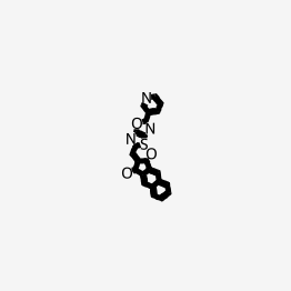 O=C1C(=Cc2nc3oc(-c4cccnc4)nc3s2)C(=O)c2cc3ccccc3cc21